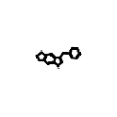 [C]1C=C(Cc2ccccc2)c2cc3c(cc21)CCC3